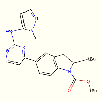 Cn1nccc1Nc1nccc(-c2ccc3c(c2)CC(C(C)(C)C)N3C(=O)OC(C)(C)C)n1